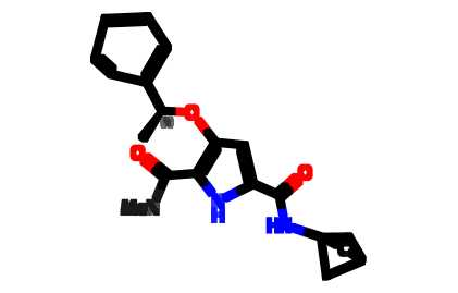 CNC(=O)c1[nH]c(C(=O)NC23CC(C2)C3)cc1O[C@@H](C)c1ccccc1